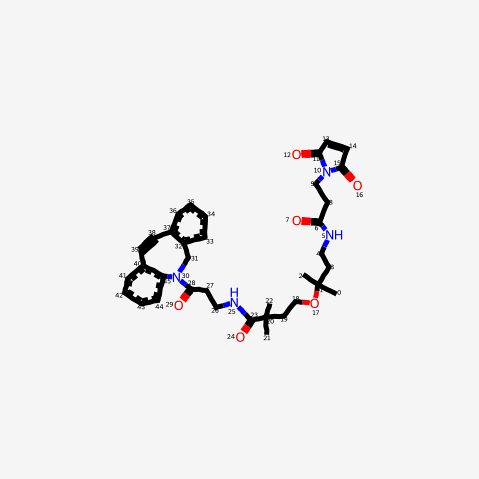 CC(C)(CCNC(=O)CCN1C(=O)C=CC1=O)OCCC(C)(C)C(=O)NCCC(=O)N1Cc2ccccc2C#Cc2ccccc21